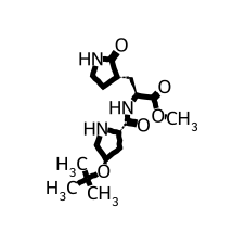 COC(=O)[C@H](C[C@@H]1CCNC1=O)NC(=O)[C@@H]1C[C@@H](OC(C)(C)C)CN1